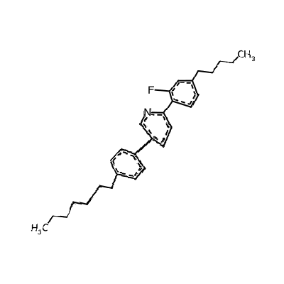 CCCCCCCc1ccc(-c2ccc(-c3ccc(CCCCC)cc3F)nc2)cc1